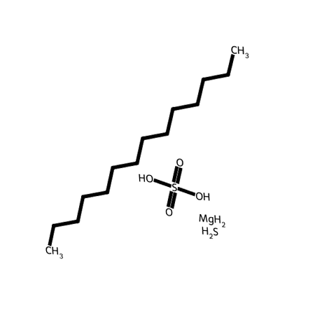 CCCCCCCCCCCCCC.O=S(=O)(O)O.S.[MgH2]